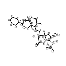 CC1=CC[C@@H]2N=C(C3CCCCC3)OC[C@@]2(C)[C@@H]1CC[C@@H]1[C@@H](C)C(=O)C[C@]2(C)[C@@H]([C@H](C)N(C)C)[C@H](O)C[C@@]12C